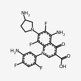 Nc1cc(-n2cc(C(=O)O)c(=O)c3c(N)c(F)c(N4CCC(N)C4)c(F)c32)c(F)cc1F